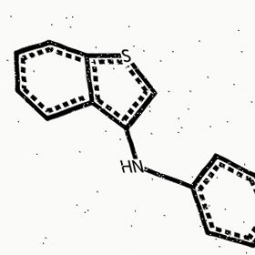 c1ccc(Nc2csc3ccccc23)cc1